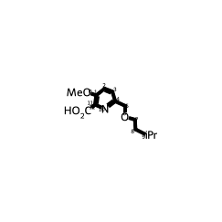 COc1ccc(COCCC(C)C)nc1C(=O)O